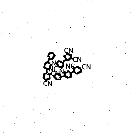 N#Cc1cc(C#N)cc(-c2cc(-n3c4ccccc4c4ccc(-c5ccc(C#N)cc5C#N)cc43)c(C#N)c(-n3c4ccccc4c4ccc(-c5ccc(C#N)cc5C#N)cc43)c2)c1